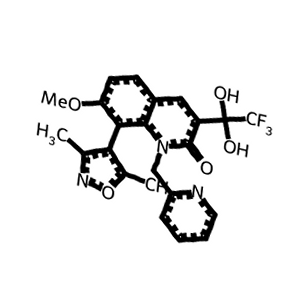 COc1ccc2cc(C(O)(O)C(F)(F)F)c(=O)n(Cc3ccccn3)c2c1-c1c(C)noc1C